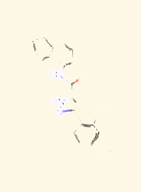 O=C(Nc1cccc2ccccc12)c1cc(-c2ccc(O)cc2O)n[nH]1